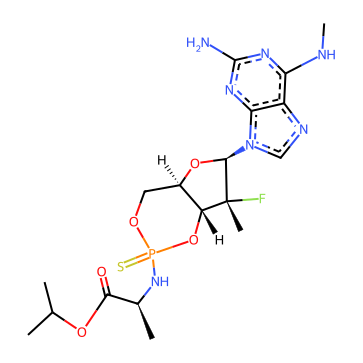 CNc1nc(N)nc2c1ncn2[C@@H]1O[C@@H]2COP(=S)(N[C@@H](C)C(=O)OC(C)C)O[C@H]2[C@@]1(C)F